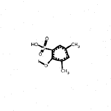 Cc1cc(C)c(OI)c(S(=O)(=O)O)c1